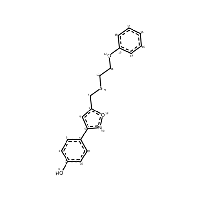 Oc1ccc(-c2cc(CSCCOc3ccccc3)on2)cc1